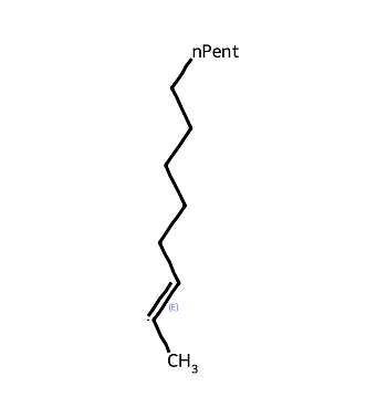 [CH2]CCCCCCCCC/C=[C]/C